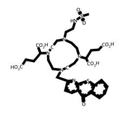 CS(=O)(=O)NCCN1CCN(C(CCC(=O)O)C(=O)O)CCN(Cc2ccc3c(=O)c4ccccc4sc3n2)CCN(C(CCC(=O)O)C(=O)O)CC1